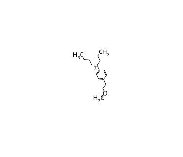 CCCC[C@H](CCC)c1ccc(CCOC)cc1